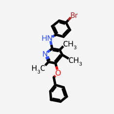 Cc1nc(Nc2ccc(Br)cc2)c(C)c(C)c1OCc1ccccc1